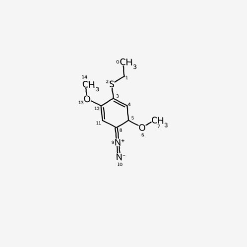 CCSC1=CC(OC)C(=[N+]=[N-])C=C1OC